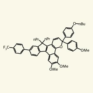 CCCCOc1ccc(C2(c3ccc(OC)cc3)C=Cc3c4c(c5cc(OC)c(OC)cc5c3O2)-c2ccc(-c3ccc(C(F)(F)F)cc3)cc2C4(CCC)CCC)cc1